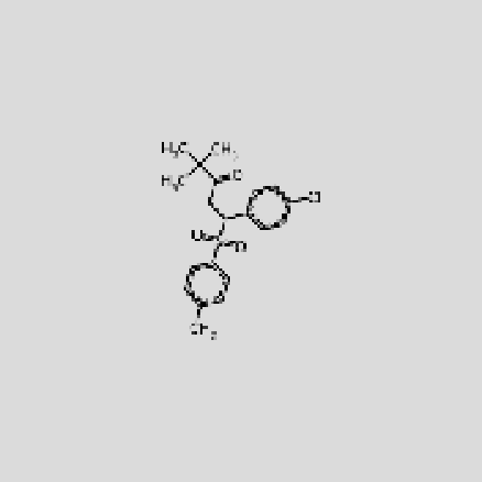 Cc1ccc(S(=O)(=O)C(CC(=O)C(C)(C)C)c2ccc(Cl)cc2)cc1